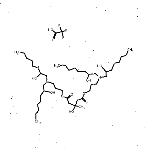 CCCCCCC(O)CN(CCCOC(=O)CC(C)(O)CC(=O)OCCCN(CC(O)CCCCCC)CC(O)CCCCCC)CC(O)CCCCCC.O=C(O)C(F)(F)F